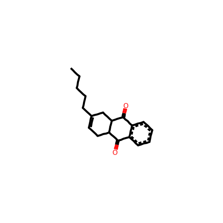 CCCCCC1=CCC2C(=O)c3ccccc3C(=O)C2C1